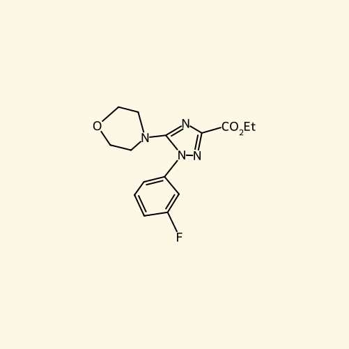 CCOC(=O)c1nc(N2CCOCC2)n(-c2cccc(F)c2)n1